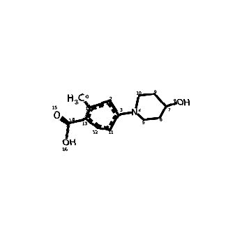 Cc1cc(N2CCC(O)CC2)ccc1C(=O)O